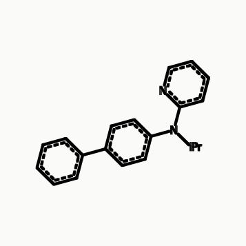 CC(C)N(c1ccc(-c2ccccc2)cc1)c1ccccn1